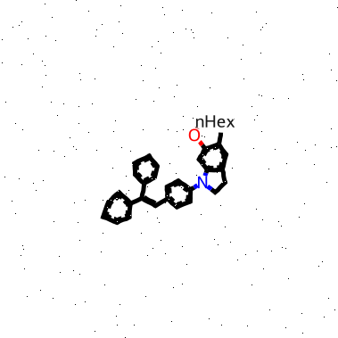 CCCCCCOc1cc2c(cc1C)CCN2c1ccc(C=C(c2ccccc2)c2ccccc2)cc1